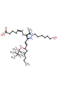 CCCCCC(/C=C/c1nn(CCCCCCO)c(C)c1C/C=C\CCCC(=O)O)O[Si](C)(C)C(C)(C)C